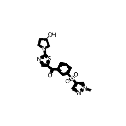 Cn1cc(S(=O)(=O)c2cccc(C(=O)c3cnc(N4CC[C@H](O)C4)s3)c2)cn1